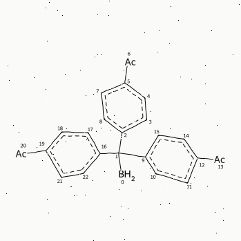 BC(c1ccc(C(C)=O)cc1)(c1ccc(C(C)=O)cc1)c1ccc(C(C)=O)cc1